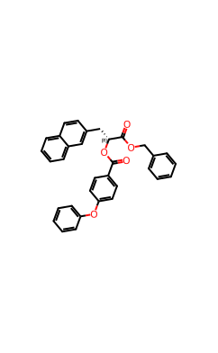 O=C(O[C@H](Cc1ccc2ccccc2c1)C(=O)OCc1ccccc1)c1ccc(Oc2ccccc2)cc1